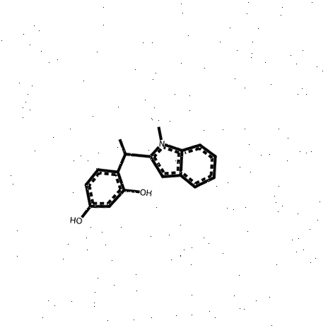 CC(c1ccc(O)cc1O)c1cc2ccccc2n1C